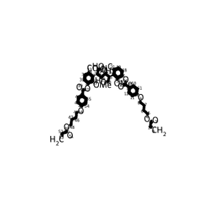 C=CC(=O)OCCCCOc1ccc(C(=O)Oc2ccc(C(=O)O)c([C@H]3CO[C@H]4[C@@H]3OC[C@H]4c3c(C(=O)O)ccc(OC(=O)c4ccc(OCCCCOC(=O)C=C)cc4)c3OC)c2OC)cc1